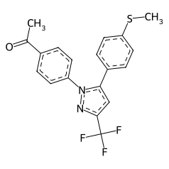 CSc1ccc(-c2cc(C(F)(F)F)nn2-c2ccc(C(C)=O)cc2)cc1